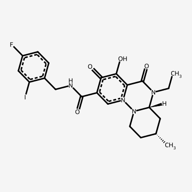 CCN1C(=O)c2c(O)c(=O)c(C(=O)NCc3ccc(F)cc3I)cn2N2CC[C@@H](C)C[C@@H]12